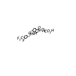 Cc1ccc2c(=O)n(C3CCN(C(=O)O)C3)ccc2c1NC(=O)Cc1ccc(C(F)(F)F)c(F)c1